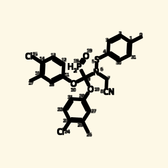 Cc1ccc(SN(CC#N)C(Oc2ccc(Cl)c(C)c2)(Oc2ccc(Cl)c(C)c2)[PH2]=O)cc1